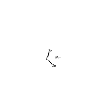 [Mn].[Zn][O][Zn]